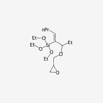 CCCC=C(C(CC)OCC1CO1)[Si](OCC)(OCC)OCC